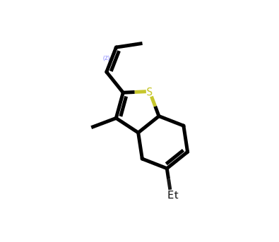 C/C=C\C1=C(C)C2CC(CC)=CCC2S1